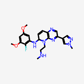 CNCCN1c2nc(-c3cnn(C)c3)cnc2C=CC1Nc1cc(OC)cc(OC)c1F